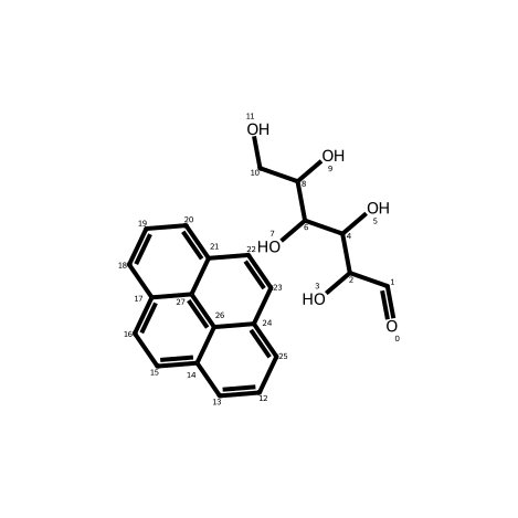 O=CC(O)C(O)C(O)C(O)CO.c1cc2ccc3cccc4ccc(c1)c2c34